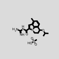 CS(=O)(=O)O.Cc1ccc2c3c1cc(C(=O)NC(=N)N)n3CCC2OC(C)C